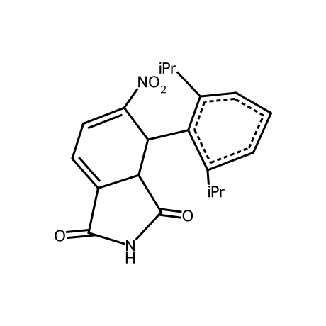 CC(C)c1cccc(C(C)C)c1C1C([N+](=O)[O-])=CC=C2C(=O)NC(=O)C21